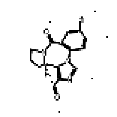 O=Cc1ncn2c1[C@@H]1CCCN1C(=O)c1cc(Br)ccc1-2